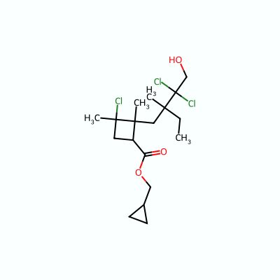 CCC(C)(CC1(C)C(C(=O)OCC2CC2)CC1(C)Cl)C(Cl)(Cl)CO